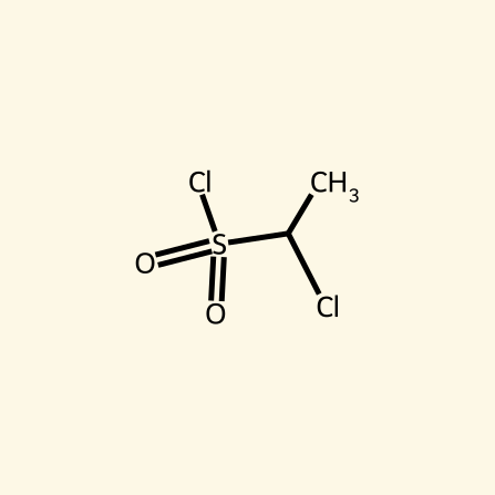 CC(Cl)S(=O)(=O)Cl